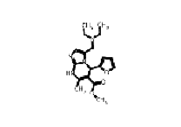 CCN(CC)Cc1cnc2n1C(c1ccco1)C(C(=O)OC)=C(C)N2